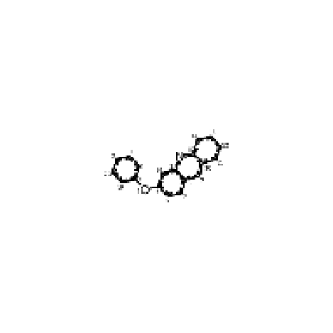 c1ccc(Oc2ccc3cc4ccccc4nc3c2)cc1